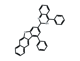 c1ccc(C2=c3ccccc3=NC(c3cc(-c4ccccc4)c4c(c3)oc3cc5ccccc5cc34)N2)cc1